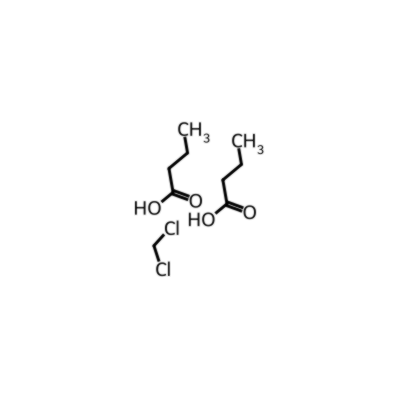 CCCC(=O)O.CCCC(=O)O.ClCCl